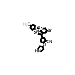 Cc1ccc(S(=O)(=O)n2cc(-c3ccc(OC4CCNCC4)c(C#N)c3)c3cc(Br)cnc32)cc1